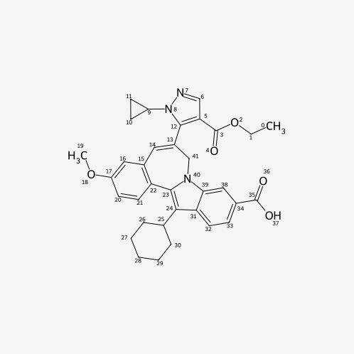 CCOC(=O)c1cnn(C2CC2)c1C1=Cc2cc(OC)ccc2-c2c(C3CCCCC3)c3ccc(C(=O)O)cc3n2C1